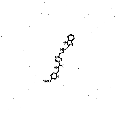 COc1ccc(CNC(=O)c2csc(CCNCc3nc4ccccc4[nH]3)n2)nc1